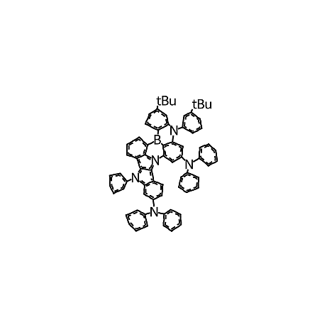 CC(C)(C)c1cccc(N2c3cc(C(C)(C)C)ccc3B3c4c2cc(N(c2ccccc2)c2ccccc2)cc4-n2c4c3cccc4c3c2c2ccc(N(c4ccccc4)c4ccccc4)cc2n3-c2ccccc2)c1